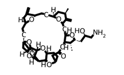 C=C1C[C@@H]2CC[C@@]34C[C@H]5O[C@H]6C(O3)[C@H]3OC(CC[C@@H]3O[C@H]6[C@H]5O4)CC(=O)C[C@@H]3[C@@H](C)[C@@H](C[C@H](O)CN)O[C@H]3CC3O[C@@H](CCC1O2)C[C@@H](C)C3=C